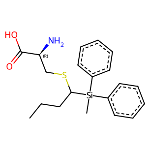 CCCC(SC[C@H](N)C(=O)O)[Si](C)(c1ccccc1)c1ccccc1